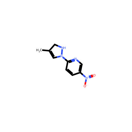 CC1=CN(c2ccc([N+](=O)[O-])cn2)NC1